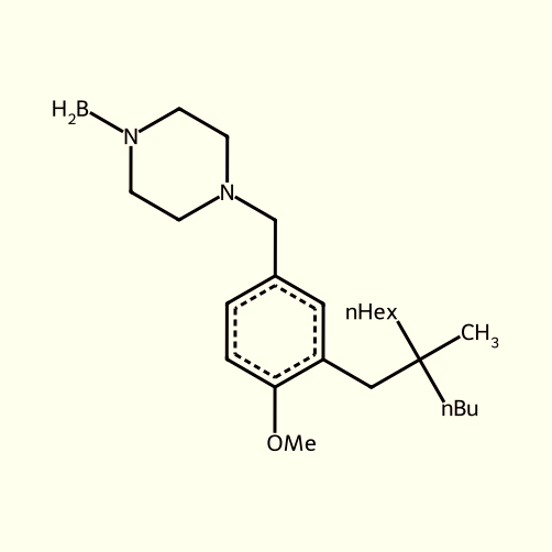 BN1CCN(Cc2ccc(OC)c(CC(C)(CCCC)CCCCCC)c2)CC1